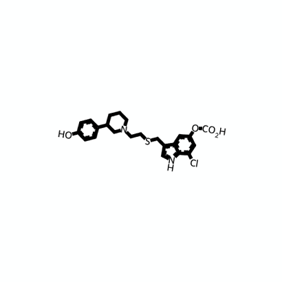 O=C(O)Oc1cc(Cl)c2[nH]cc(CSCCN3CCCC(c4ccc(O)cc4)C3)c2c1